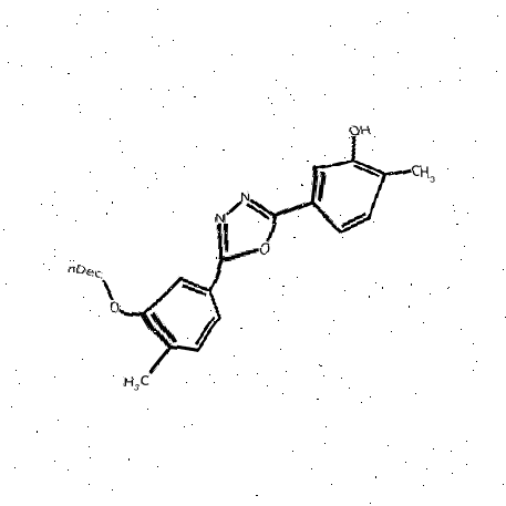 CCCCCCCCCCOc1cc(-c2nnc(-c3ccc(C)c(O)c3)o2)ccc1C